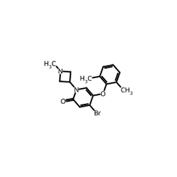 Cc1cccc(C)c1Oc1cn(C2CN(C)C2)c(=O)cc1Br